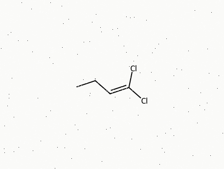 C[CH]C=C(Cl)Cl